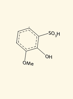 COc1cc[c]c(S(=O)(=O)O)c1O